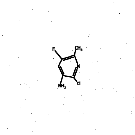 Cc1nc(Cl)c(N)cc1F